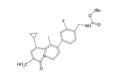 Cc1c(-c2ccc(CNC(=O)OC(C)(C)C)c(F)c2)ccn2c(=O)c(C(=O)O)cc(C3CC3)c12